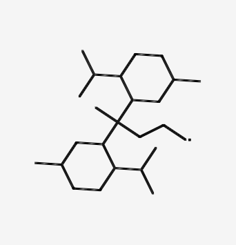 [CH2]CCC(C)(C1CC(C)CCC1C(C)C)C1CC(C)CCC1C(C)C